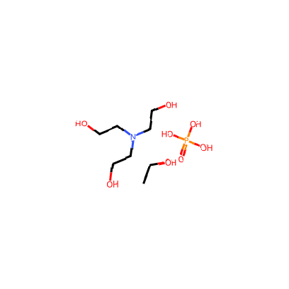 CCO.O=P(O)(O)O.OCCN(CCO)CCO